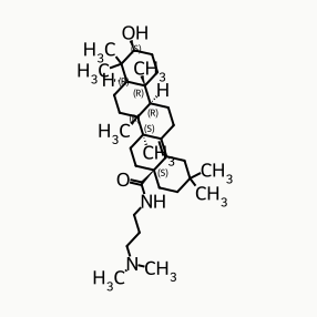 CN(C)CCCNC(=O)[C@]12CCC(C)(C)CC1=C1CC[C@@H]3[C@@]4(C)CC[C@H](O)C(C)(C)[C@@H]4CC[C@@]3(C)[C@]1(C)CC2